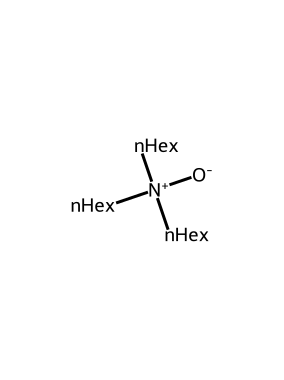 CCCCCC[N+]([O-])(CCCCCC)CCCCCC